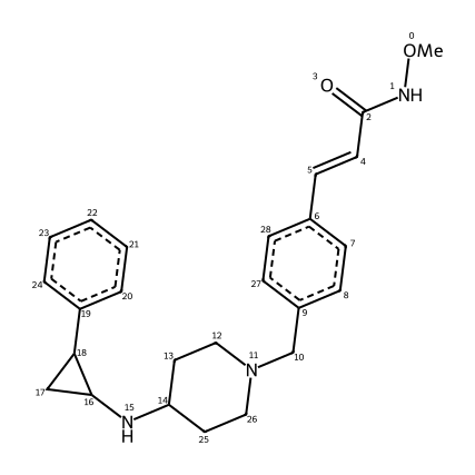 CONC(=O)C=Cc1ccc(CN2CCC(NC3CC3c3ccccc3)CC2)cc1